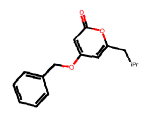 CC(C)Cc1cc(OCc2ccccc2)cc(=O)o1